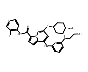 N[C@H]1CC[C@H](Nc2cc(Nc3cccc(NCCO)n3)c3ccc(C(=O)Nc4ccncc4F)n3n2)CC1